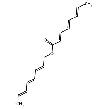 C/C=C/C=C/C=C/COC(=O)/C=C/C=C/C=C/C